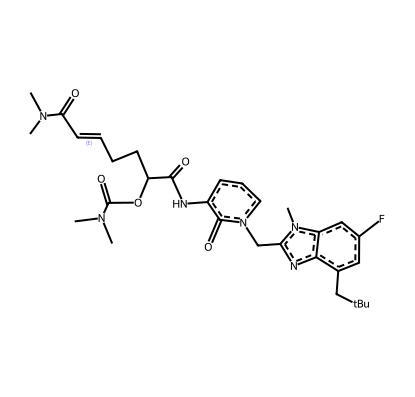 CN(C)C(=O)/C=C/CCC(OC(=O)N(C)C)C(=O)Nc1cccn(Cc2nc3c(CC(C)(C)C)cc(F)cc3n2C)c1=O